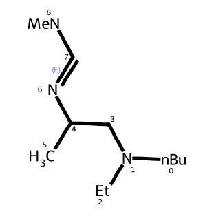 CCCCN(CC)CC(C)/N=C/NC